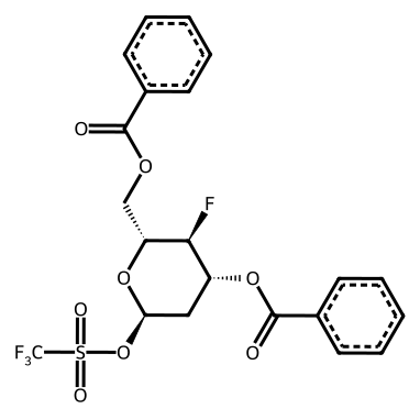 O=C(OC[C@H]1O[C@H](OS(=O)(=O)C(F)(F)F)C[C@@H](OC(=O)c2ccccc2)[C@@H]1F)c1ccccc1